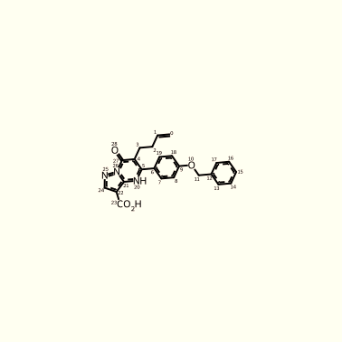 C=CCCc1c(-c2ccc(OCc3ccccc3)cc2)[nH]c2c(C(=O)O)cnn2c1=O